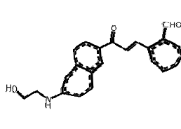 O=Cc1ccccc1C=CC(=O)c1ccc2cc(NCCO)ccc2c1